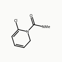 CNC(=O)N1CC=CC=C1Cl